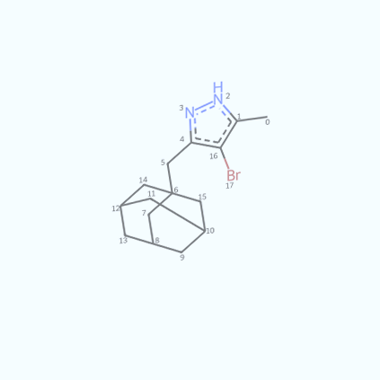 Cc1[nH]nc(CC23CC4CC(CC(C4)C2)C3)c1Br